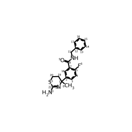 CC1(c2ccc(F)c(C(=O)NCc3ccccc3)c2)CCSC(N)=N1